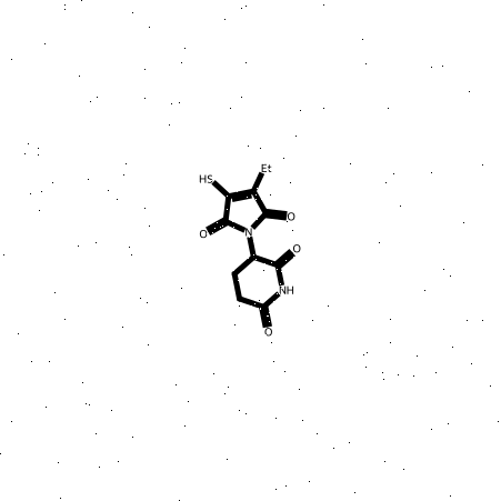 CCC1=C(S)C(=O)N(C2CCC(=O)NC2=O)C1=O